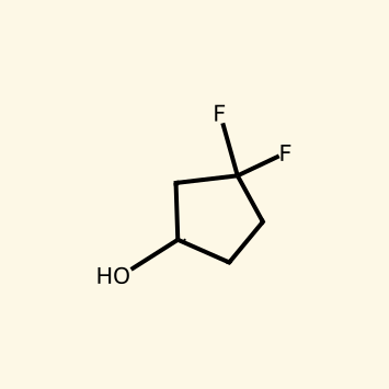 O[C]1CCC(F)(F)C1